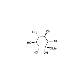 CO[C@@]1(O)[C@H](O)[C@@H](O)[C@H](O)[C@@H](O)[C@@H]1O